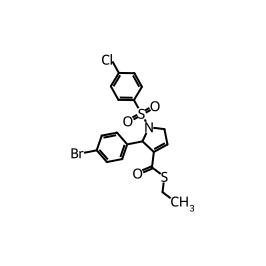 CCSC(=O)C1=CCN(S(=O)(=O)c2ccc(Cl)cc2)C1c1ccc(Br)cc1